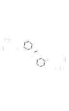 O=C(Oc1ccc(C(=O)O)c(C(=O)O)c1)c1ccc(C(=O)O)c(C(=O)O)c1